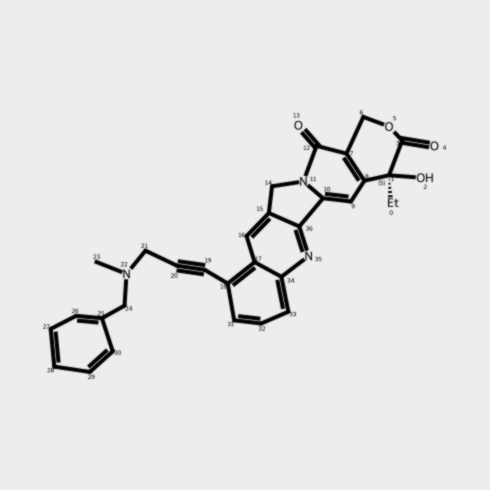 CC[C@@]1(O)C(=O)OCc2c1cc1n(c2=O)Cc2cc3c(C#CCN(C)Cc4ccccc4)cccc3nc2-1